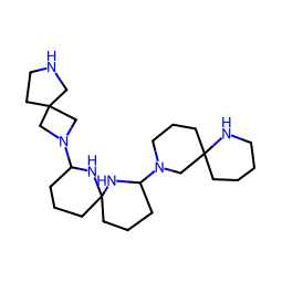 C1CCC2(CCCN(C3CCCC4(CCCC(N5CC6(CCNC6)C5)N4)N3)C2)NC1